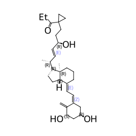 C=C1/C(=C\C=C2/CCC[C@]3(C)[C@@H]([C@H](C)/C=C/[C@H](O)CCC4(C(=O)CC)CC4)CC[C@@H]23)C[C@@H](O)C[C@@H]1O